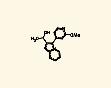 COc1cc(-c2c(C(C)O)cc3ccccn23)ccn1